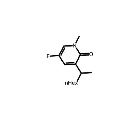 CCCCCCC(C)c1cc(F)cn(C)c1=O